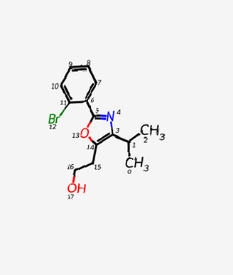 CC(C)c1nc(-c2ccccc2Br)oc1CCO